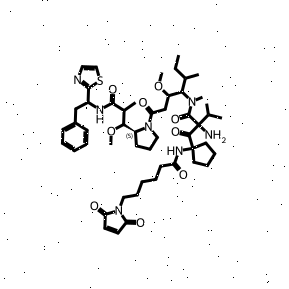 CCC(C)C(C(CC(=O)N1CCC[C@H]1C(OC)C(C)C(=O)NC(Cc1ccccc1)c1nccs1)OC)N(C)C(=O)C(N)(C(=O)C1(NC(=O)CCCCCN2C(=O)C=CC2=O)CCCC1)C(C)C